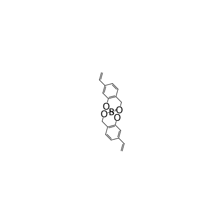 C=Cc1ccc2c(c1)O[B-]1(OC2)OCc2ccc(C=C)cc2O1